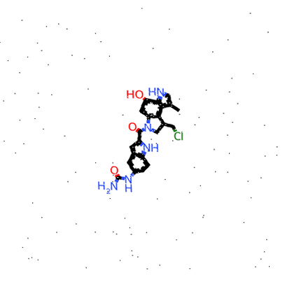 Cc1c[nH]c2c(O)cc3c(c12)C(CCl)CN3C(=O)c1cc2cc(NC(N)=O)ccc2[nH]1